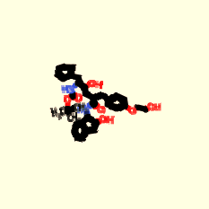 CC(C)(C)OC(=O)NC(Cc1ccccc1)C(O)CC(Cc1ccc(OCCO)cc1)C(=O)NC1c2ccccc2CC1O